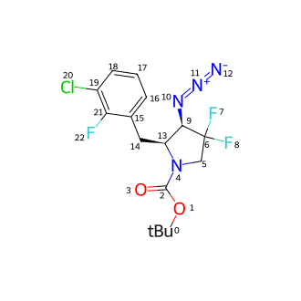 CC(C)(C)OC(=O)N1CC(F)(F)[C@H](N=[N+]=[N-])[C@@H]1Cc1cccc(Cl)c1F